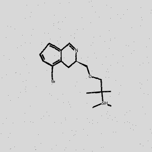 C[SiH](C)C(C)(C)COC[C@H]1Cc2c(Br)cccc2C=N1